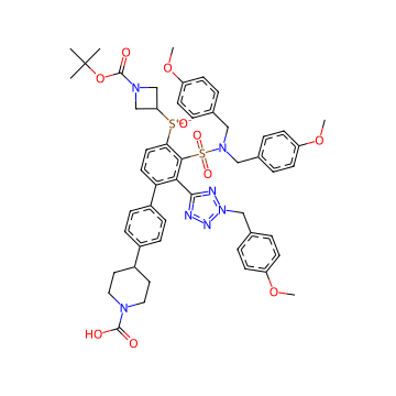 COc1ccc(CN(Cc2ccc(OC)cc2)S(=O)(=O)c2c([S+]([O-])C3CN(C(=O)OC(C)(C)C)C3)ccc(-c3ccc(C4CCN(C(=O)O)CC4)cc3)c2-c2nnn(Cc3ccc(OC)cc3)n2)cc1